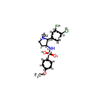 CC(C)(C)N1CCC(NS(=O)(=O)c2ccc(OC(F)(F)F)cc2)C1c1ccc(Cl)c(F)c1